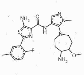 COC1CCN(c2c(NC(=O)c3nc(-c4cc(C)ccc4F)sc3N)cnn2C)CCC1N